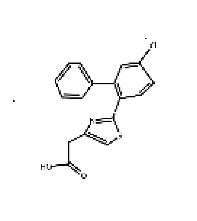 O=C(O)Cc1csc(-c2ccc(Cl)cc2-c2ccccc2)n1